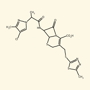 Cc1nnc(SCC2=C(C(=O)O)N3C(=O)C(NC(=O)C(C)n4cc(Cl)c(C)n4)C3SC2)s1